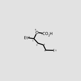 CCC(CCCI)OC(=O)O